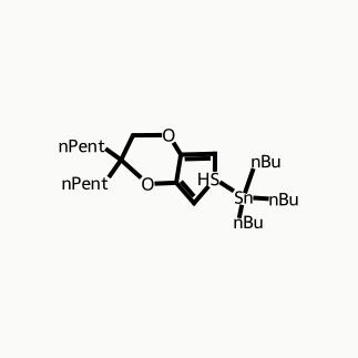 CCCCCC1(CCCCC)COC2=C[SH]([Sn]([CH2]CCC)([CH2]CCC)[CH2]CCC)C=C2O1